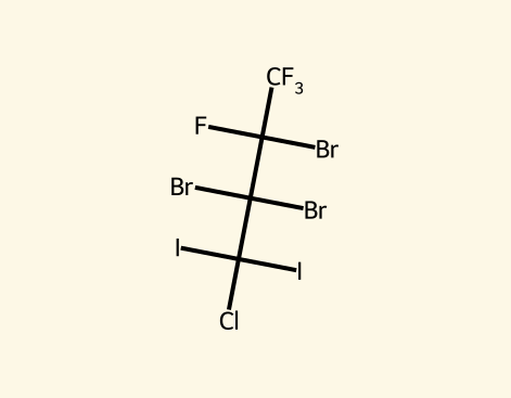 FC(F)(F)C(F)(Br)C(Br)(Br)C(Cl)(I)I